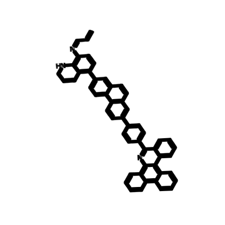 C=C/C=N\c1ccc(-c2ccc3c(ccc4cc(-c5ccc(-c6nc7c8ccccc8c8ccccc8c7c7ccccc67)cc5)ccc43)c2)c2c1NCC=C2